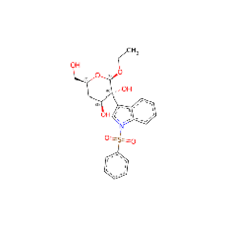 CCO[C@@H]1O[C@H](CO)C[C@H](O)[C@]1(O)c1cn(S(=O)(=O)c2ccccc2)c2ccccc12